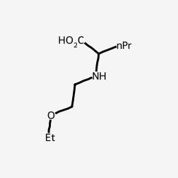 CCCC(NCCOCC)C(=O)O